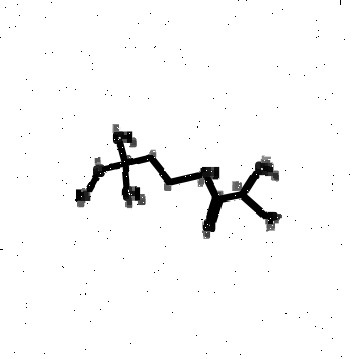 CCOC(C)(C)CCNC(=O)C(C)C(C)C